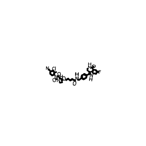 Cc1c(N2C(=O)[C@@H]3[C@H](OCCCCC(=O)NCc4ccc(-c5[nH]c6cc(F)cc7c6c5CCNC7=O)cc4)CCN3C2=O)ccc(C#N)c1Cl